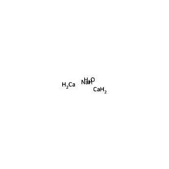 O.[CaH2].[CaH2].[NaH]